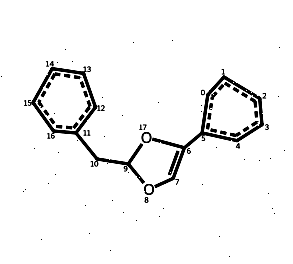 [c]1ccccc1C1=COC(Cc2ccccc2)O1